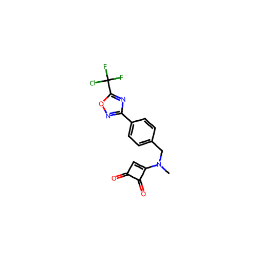 CN(Cc1ccc(-c2noc(C(F)(F)Cl)n2)cc1)c1cc(=O)c1=O